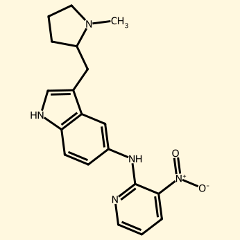 CN1CCCC1Cc1c[nH]c2ccc(Nc3ncccc3[N+](=O)[O-])cc12